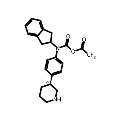 O=C(OC(=O)C(F)(F)F)N(c1ccc([C@@H]2CCCNC2)cc1)C1Cc2ccccc2C1